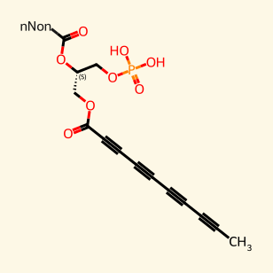 CC#CC#CC#CC#CC(=O)OC[C@@H](COP(=O)(O)O)OC(=O)CCCCCCCCC